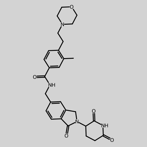 Cc1cc(C(=O)NCc2ccc3c(c2)CN(C2CCC(=O)NC2=O)C3=O)ccc1CCN1CCOCC1